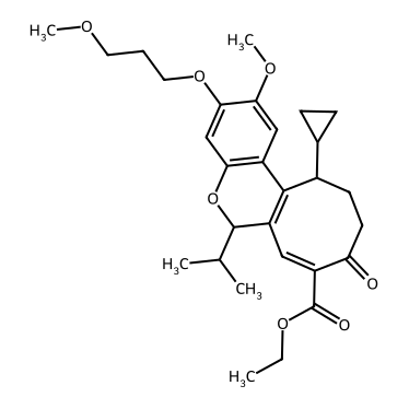 CCOC(=O)/C1=C/C2=C(c3cc(OC)c(OCCCOC)cc3OC2C(C)C)C(C2CC2)CCC1=O